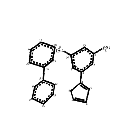 CC(C)(C)c1cc(C2=CC=CC2)cc(C(C)(C)C)c1.c1ccc(-c2ccccc2)cc1